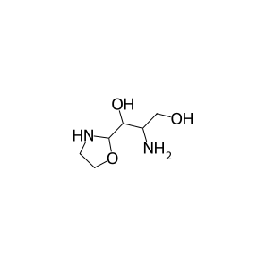 NC(CO)C(O)C1NCCO1